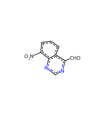 O=Cc1ncnc2c([N+](=O)[O-])cccc12